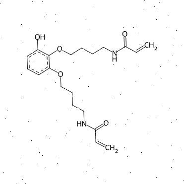 C=CC(=O)NCCCCOc1cccc(O)c1OCCCCNC(=O)C=C